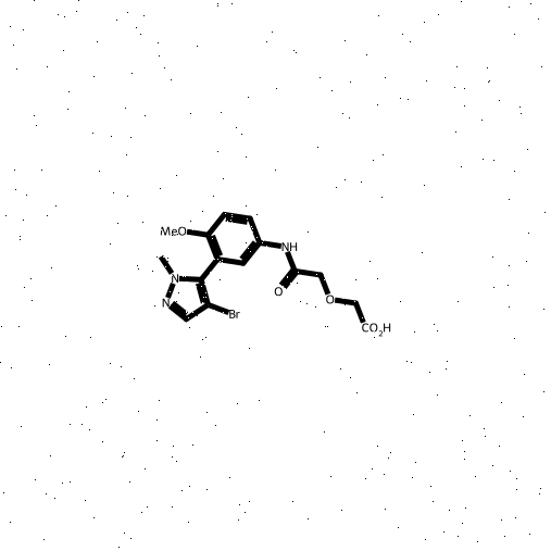 COc1ccc(NC(=O)COCC(=O)O)cc1-c1c(Br)cnn1C